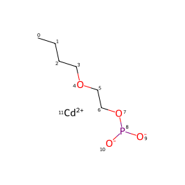 CCCCOCCOP([O-])[O-].[Cd+2]